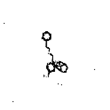 Nc1cccc(C2(O)C3CCC2CN(CCOCCc2ccccc2)C3)c1